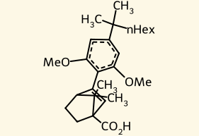 CCCCCCC(C)(C)c1cc(OC)c(C2=CC3(C(=O)O)CCC2C3(C)C)c(OC)c1